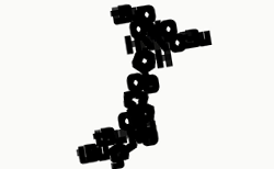 C[C@@H](N(Cc1csc(C(C)(C)C)c1)C(=O)c1ccc2cc(OC(=O)c3ccc(N/C(=N\C(=O)OC(C)(C)C)NC(=O)OC(C)(C)C)cc3)ccc2n1)C(C)(C)C